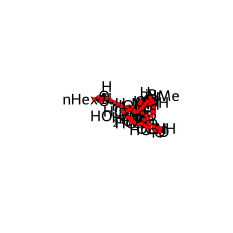 CCCCCCc1ccc(S(=O)(=O)NCCCCCCNCc2c(O)cc3c(c2C)-c2cc(ccc2O)[C@H]2NC(=O)[C@@H]4NC(=O)[C@H](CC(N)=O)NC(=O)[C@H](NC(=O)[C@@H](CC(C)C)NC)[C@H](O)c5ccc(c(C)c5)Oc5cc4cc(c5O[C@@H]4O[C@H](CO)[C@@H](O)[C@H](O)[C@H]4O[C@H]4C[C@]5(C)NC(=O)O[C@@H]5[C@H](C)O4)Oc4ccc(cc4Cl)[C@@H](O)[C@H](NC2=O)C(=O)N[C@@H]3C(=O)O)cc1